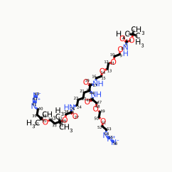 CC(C)(C)OC(=O)NOCCOCCOCCNC(=O)C(CCCCNC(=O)COC(C)(C)CCOC(C)(C)CCN=[N+]=[N-])NC(=O)COCCOCCN=[N+]=[N-]